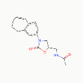 CC(=O)NCC1CN(c2ccc3c(c2)CCCC=C3)C(=O)O1